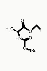 C[C@H](NC(=O)OC(C)(C)C)C(=O)OCI